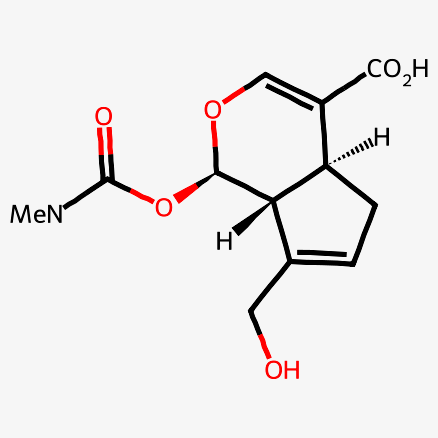 CNC(=O)O[C@H]1OC=C(C(=O)O)[C@H]2CC=C(CO)[C@H]12